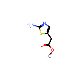 COC(=O)Cc1cnc(N)s1